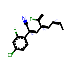 C=C(F)C(=C\C=C/C)/C=C(\C#N)c1ccc(Cl)cc1F